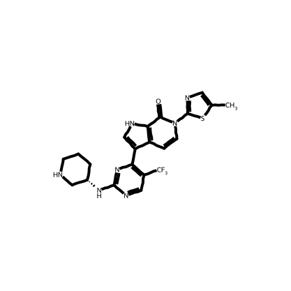 Cc1cnc(-n2ccc3c(-c4nc(N[C@H]5CCCNC5)ncc4C(F)(F)F)c[nH]c3c2=O)s1